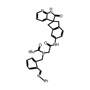 CC(C)/N=C/c1ccccc1CN(CC(=O)Nc1ccc2c(c1)CC1(C2)C(=O)Nc2ncccc21)C(=O)C(C)(C)C